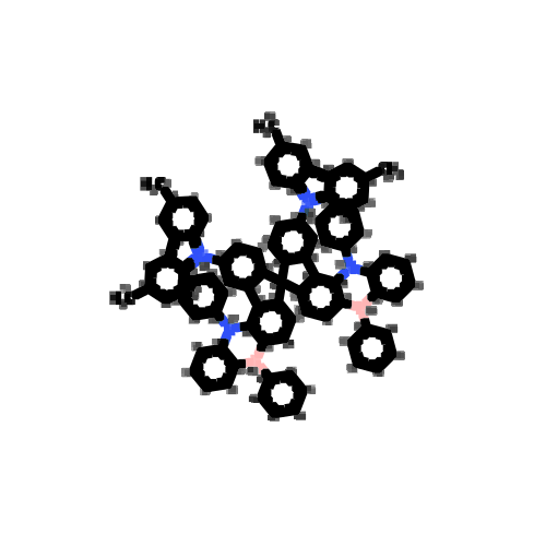 Cc1ccc2c(c1)c1cc(C)ccc1n2-c1ccc2c(c1)-c1c(ccc3c1N(c1ccccc1)c1ccccc1B3c1ccccc1)C21c2ccc(-n3c4ccc(C)cc4c4cc(C)ccc43)cc2-c2c1ccc1c2N(c2ccccc2)c2ccccc2B1c1ccccc1